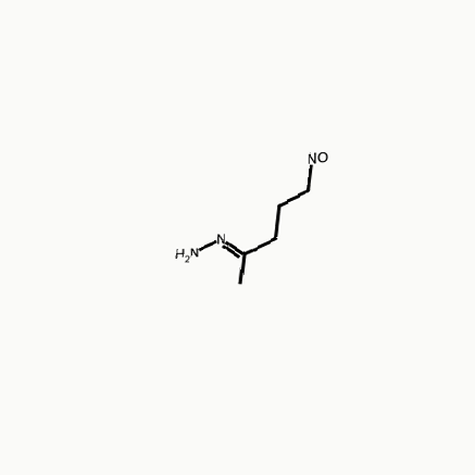 CC(CCCN=O)=NN